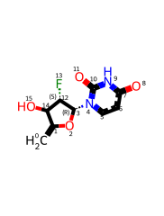 C=C1O[C@@H](n2ccc(=O)[nH]c2=O)[C@@H](F)C1O